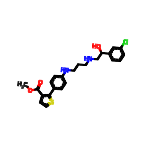 COC(=O)c1ccsc1-c1ccc(NCCCNC[C@@H](O)c2cccc(Cl)c2)cc1